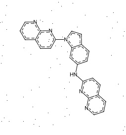 c1cnc2nc(Nc3ccc4ccn(-c5ccc6cccnc6n5)c4c3)ccc2c1